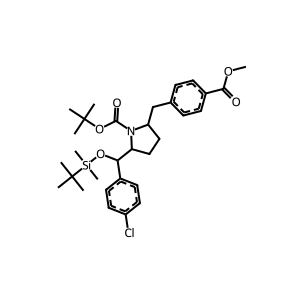 COC(=O)c1ccc(CC2CCC(C(O[Si](C)(C)C(C)(C)C)c3ccc(Cl)cc3)N2C(=O)OC(C)(C)C)cc1